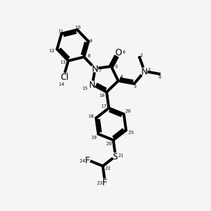 CN(C)C=C1C(=O)N(c2ccccc2Cl)N=C1c1ccc(SC(F)F)cc1